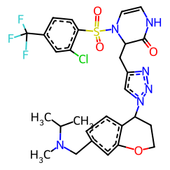 CC(C)N(C)Cc1ccc2c(c1)OCCC2n1cc(CC2C(=O)NC=CN2S(=O)(=O)c2ccc(C(F)(F)F)cc2Cl)nn1